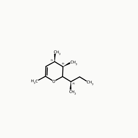 CC[C@@H](C)C1OC(C)=C[C@@H](C)[C@H]1C